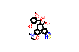 COc1ccc(OC)c(C2(O)OC(=O)C(c3ccc4nsnc4c3)=C2Cc2ccc3c(c2)N(C)CCO3)c1